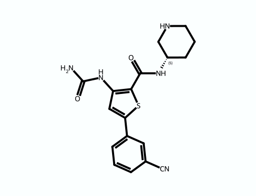 N#Cc1cccc(-c2cc(NC(N)=O)c(C(=O)N[C@H]3CCCNC3)s2)c1